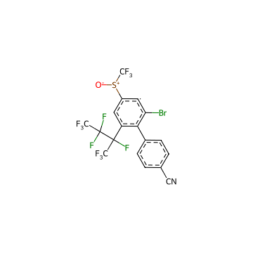 N#Cc1ccc(-c2c(Br)[c]c([S+]([O-])C(F)(F)F)cc2C(F)(C(F)(F)F)C(F)(F)C(F)(F)F)cc1